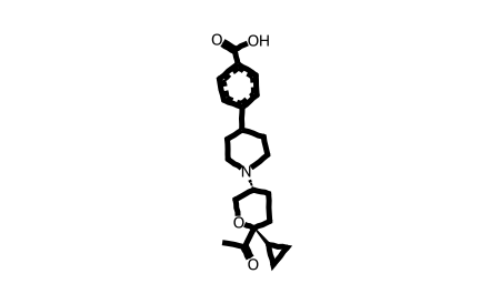 CC(=O)[C@@]1(C2CC2)CC[C@@H](N2CCC(c3ccc(C(=O)O)cc3)CC2)CO1